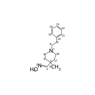 CC1(C=NO)CCN(CCc2ccccc2)CC1